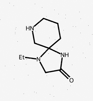 CCN1CC(=O)NC12CCCNC2